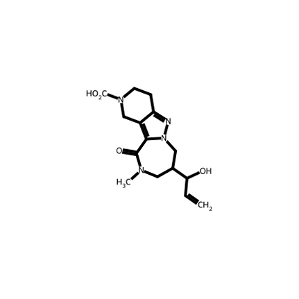 C=CC(O)C1CN(C)C(=O)c2c3c(nn2C1)CCN(C(=O)O)C3